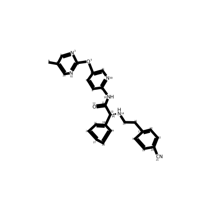 Cc1cnc(Oc2ccc(NC(=O)[C@H](NCCc3ccc(C#N)cc3)c3ccccc3)nc2)nc1